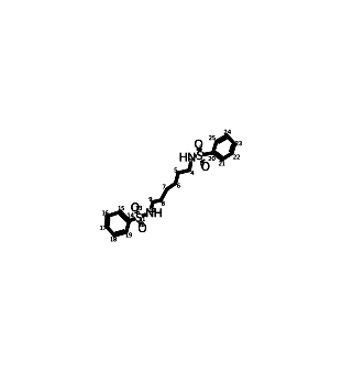 O=S(=O)(NCCCCCCNS(=O)(=O)c1ccccc1)c1ccccc1